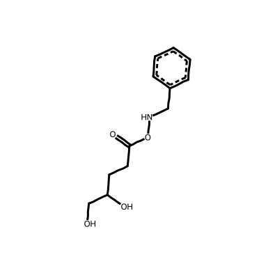 O=C(CCC(O)CO)ONCc1ccccc1